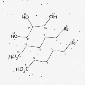 CC(C)CCCCC(=O)O.CC(C)CCCCC(=O)O.OCC(O)CO